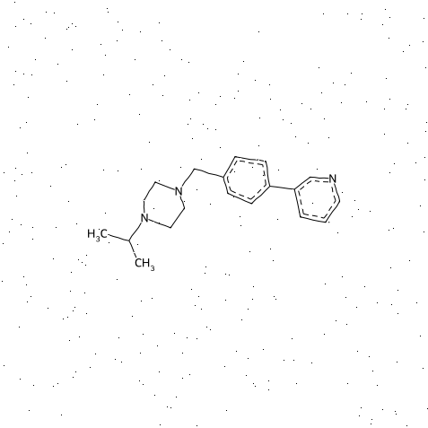 CC(C)N1CCN(Cc2ccc(-c3c[c]cnc3)cc2)CC1